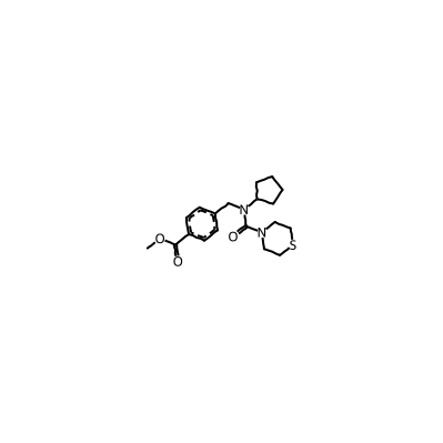 COC(=O)c1ccc(CN(C(=O)N2CCSCC2)C2CCCC2)cc1